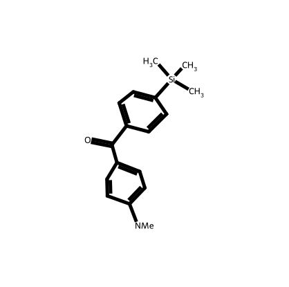 CNc1ccc(C(=O)c2ccc([Si](C)(C)C)cc2)cc1